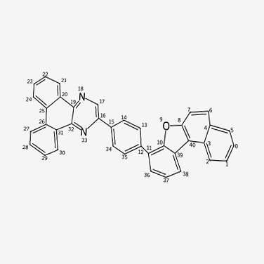 c1ccc2c(c1)ccc1oc3c(-c4ccc(-c5cnc6c7ccccc7c7ccccc7c6n5)cc4)cccc3c12